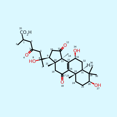 CC(CC(=O)CC(C)(O)[C@H]1CC(=O)[C@@]2(C)C3=C(C(=O)C[C@]12C)[C@@]1(C)CC[C@H](O)C(C)(C)[C@@H]1C[C@@H]3O)C(=O)O